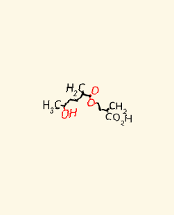 C=C(CCOC(=O)C(=C)CCC(C)O)C(=O)O